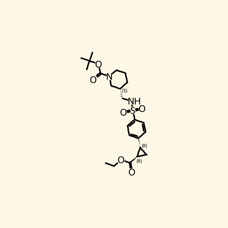 CCOC(=O)[C@@H]1C[C@H]1c1ccc(S(=O)(=O)NC[C@H]2CCCN(C(=O)OC(C)(C)C)C2)cc1